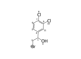 OC(CBr)c1ccc(Cl)c(Cl)c1